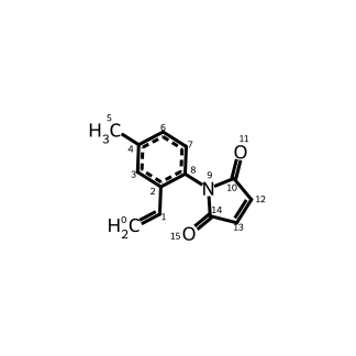 C=Cc1cc(C)ccc1N1C(=O)C=CC1=O